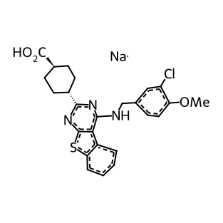 COc1ccc(CNc2nc([C@H]3CC[C@H](C(=O)O)CC3)nc3sc4ccccc4c23)cc1Cl.[Na]